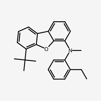 CCc1ccccc1N(C)c1cccc2c1oc1c(C(C)(C)C)cccc12